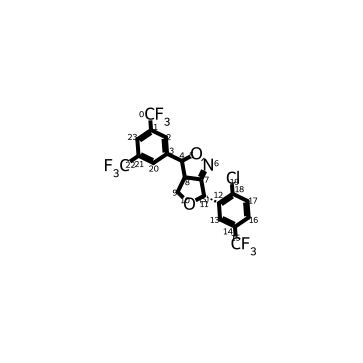 FC(F)(F)c1cc(C2ON=C3C2CO[C@H]3c2cc(C(F)(F)F)ccc2Cl)cc(C(F)(F)F)c1